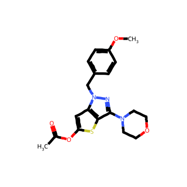 COc1ccc(Cn2nc(N3CCOCC3)c3sc(OC(C)=O)cc32)cc1